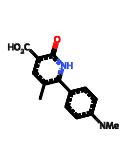 CNc1ccc(-c2[nH]c(=O)c(C(=O)O)cc2C)cc1